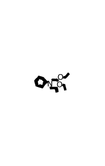 C=CCN(CC(OCC)OCC)c1ccccc1